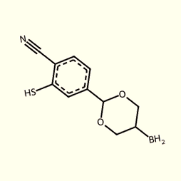 BC1COC(c2ccc(C#N)c(S)c2)OC1